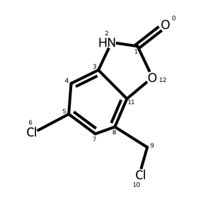 O=c1[nH]c2cc(Cl)cc(CCl)c2o1